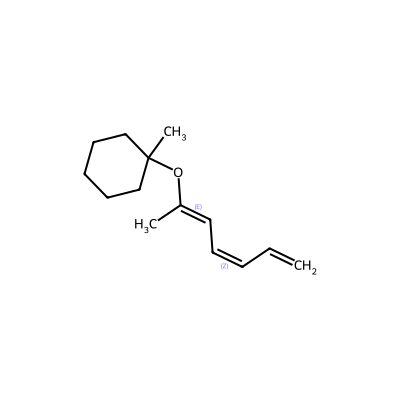 C=C/C=C\C=C(/C)OC1(C)CCCCC1